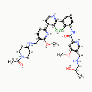 COc1cc(C(=O)Nc2cccc(-c3nccc(-c4ccc(CNC5CCN(C(C)=O)CC5)c(OC)n4)c3Cl)c2Cl)ncc1CNCC(C)O